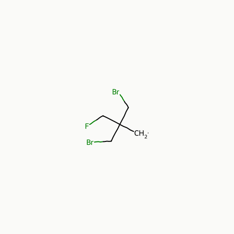 [CH2]C(CF)(CBr)CBr